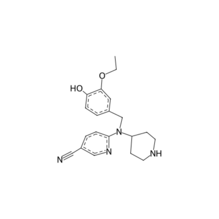 CCOc1cc(CN(c2ccc(C#N)cn2)C2CCNCC2)ccc1O